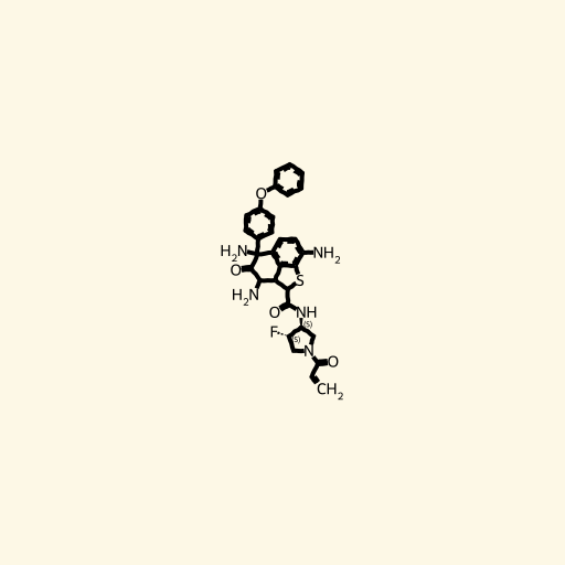 C=CC(=O)N1C[C@H](NC(=O)C2Sc3c(N)ccc4c3C2C(N)C(=O)C4(N)c2ccc(Oc3ccccc3)cc2)[C@@H](F)C1